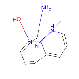 CN1C(N)N(O)C2=CC=CC3=CC=CNC321